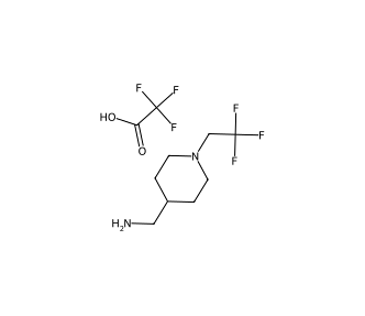 NCC1CCN(CC(F)(F)F)CC1.O=C(O)C(F)(F)F